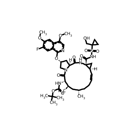 COc1cc2c(OC)cnc(O[C@@H]3C[C@H]4C(=O)N[C@]5(C(=O)NS(=O)(=O)C6(CO)CC6)C[C@H]5/C=C\CC[C@H](C)C[C@@H](C)[C@H](NC(=O)OC(C)(C)C)C(=O)N4C3)c2cc1F